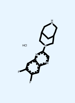 Cl.Fc1cc2ncc(N3CC4CNCC(C4)C3)nc2cc1F